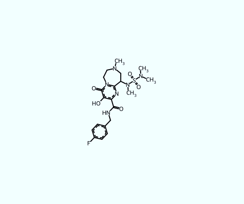 CN1CCn2c(nc(C(=O)NCc3ccc(F)cc3)c(O)c2=O)C(N(C)S(=O)(=O)N(C)C)C1